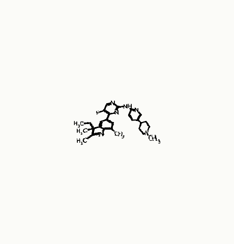 CCC1(C)C(C)=Nc2c(C)cc(-c3nc(Nc4ccc(C5CCN(C)CC5)cn4)ncc3F)cc21